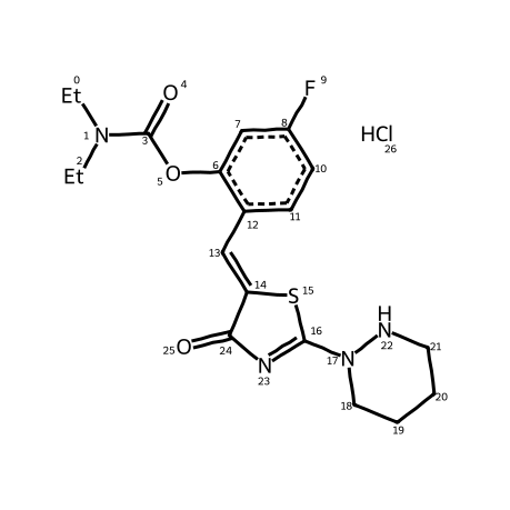 CCN(CC)C(=O)Oc1cc(F)ccc1C=C1SC(N2CCCCN2)=NC1=O.Cl